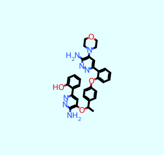 CC(Oc1cc(-c2ccccc2O)nnc1N)c1ccc(Oc2ccccc2-c2cc(N3CCOCC3)c(N)nn2)cc1